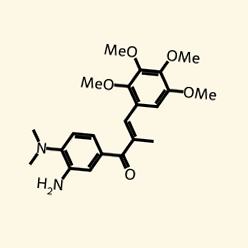 COc1cc(/C=C(\C)C(=O)c2ccc(N(C)C)c(N)c2)c(OC)c(OC)c1OC